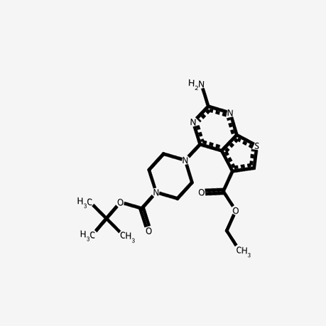 CCOC(=O)c1csc2nc(N)nc(N3CCN(C(=O)OC(C)(C)C)CC3)c12